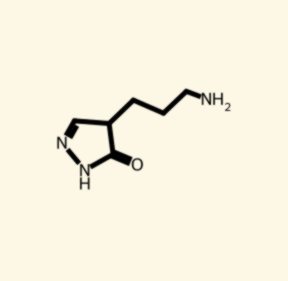 NCCCC1C=NNC1=O